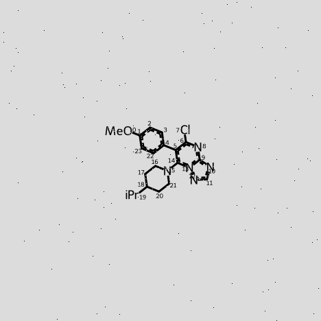 COc1ccc(-c2c(Cl)nc3ncnn3c2N2CCC(C(C)C)CC2)cc1